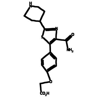 NC(=O)c1nc(C2CCNCC2)sc1-c1ccc(OCC(=O)O)cc1